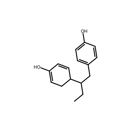 CCC(Cc1ccc(O)cc1)C1C=CC(O)=CC1